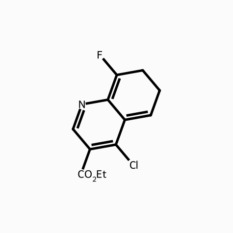 CCOC(=O)c1cnc2c(c1Cl)=CCCC=2F